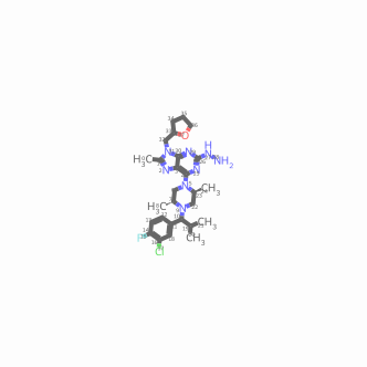 Cc1nc2c(N3C[C@@H](C)N(C(c4ccc(F)c(Cl)c4)C(C)C)C[C@@H]3C)nc(NN)nc2n1CC1CCCO1